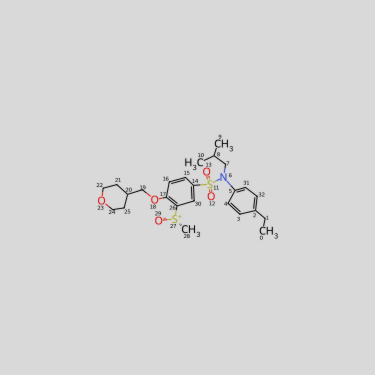 CCc1ccc(N(CC(C)C)S(=O)(=O)c2ccc(OCC3CCOCC3)c([S@+](C)[O-])c2)cc1